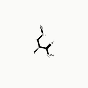 CCSC[C@H](C)C(=O)OC